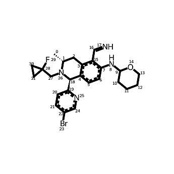 C[C@@H]1Cc2c(ccc(NC3CCCCO3)c2C=N)[C@@H](c2ccc(Br)cn2)N1CC1(F)CC1